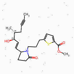 CC#CC[C@@H](C)[C@H](O)C=CC1CCC(=O)N1CCCc1ccc(C(=O)OC)s1